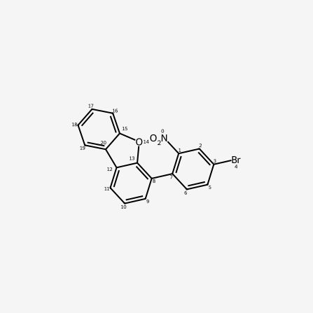 O=[N+]([O-])c1cc(Br)ccc1-c1cccc2c1oc1ccccc12